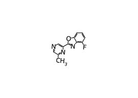 Cc1cncc(-c2nc3c(F)cccc3o2)n1